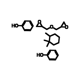 C(OCC1CO1)C1CO1.CC1CCCCC1(C)C.Oc1ccccc1.Oc1ccccc1